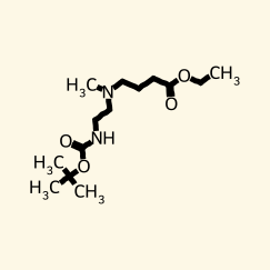 CCOC(=O)CCCN(C)CCNC(=O)OC(C)(C)C